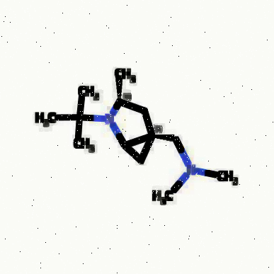 C[C@@H]1C[C@@]2(CN(C)C)CC2N1C(C)(C)C